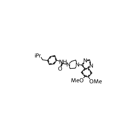 COc1cc2ncnc(N3CCN(C(=O)Nc4ccc(CC(C)C)cc4)CC3)c2cc1OC